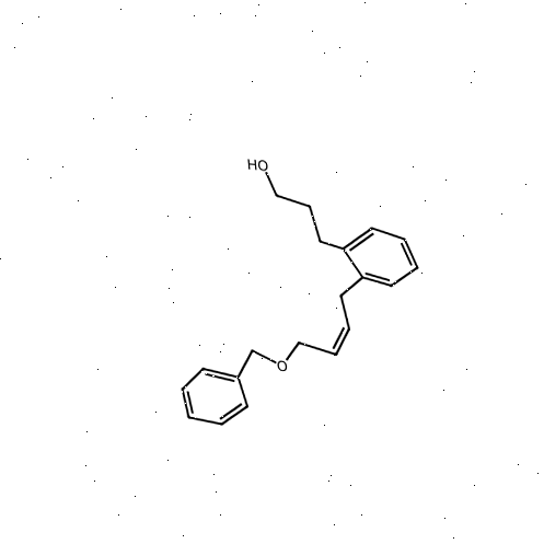 OCCCc1ccccc1C/C=C\COCc1ccccc1